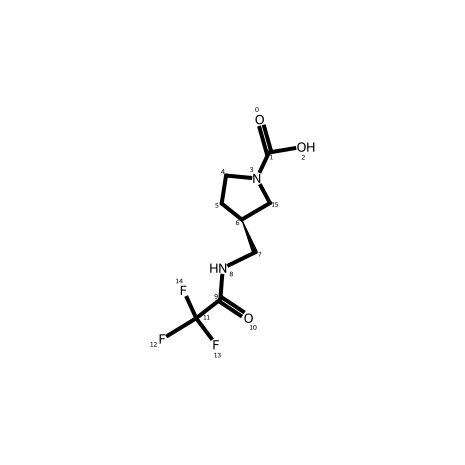 O=C(O)N1CC[C@H](CNC(=O)C(F)(F)F)C1